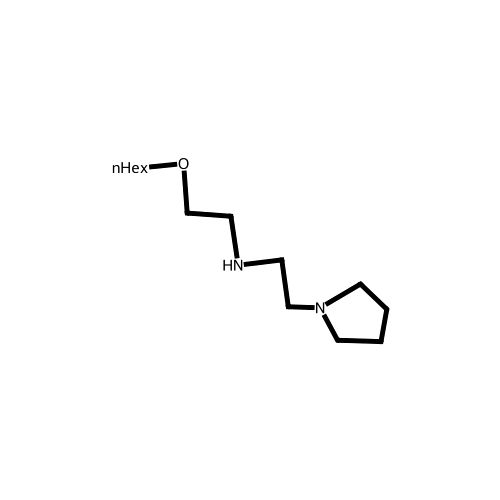 CCCCCCOCCNCCN1CCCC1